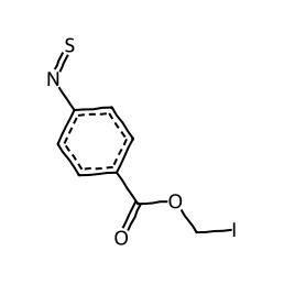 O=C(OCI)c1ccc(N=S)cc1